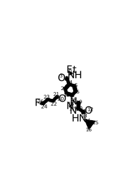 CCNC(=O)c1ccc(-n2cc(C(=O)NC3CC3)nn2)c(OCCCCF)c1